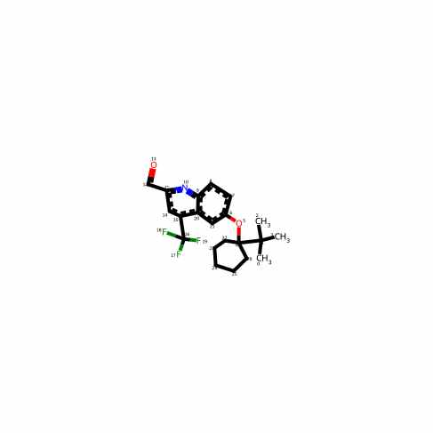 CC(C)(C)C1(Oc2ccc3nc(C=O)cc(C(F)(F)F)c3c2)CCCCC1